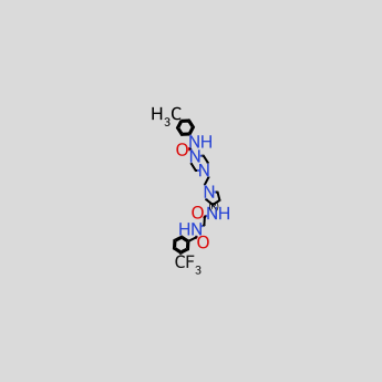 Cc1ccc(NC(=O)N2CCN(CCN3CC[C@@H](NC(=O)CNC(=O)c4cccc(C(F)(F)F)c4)C3)CC2)cc1